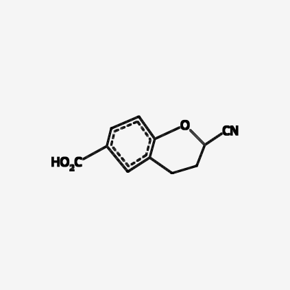 N#CC1CCc2cc(C(=O)O)ccc2O1